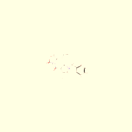 CCC[C@H]1COC(=O)N1C(=O)[C@H]1CN(Cc2ccccc2)C[C@H]1C